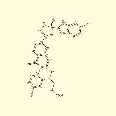 C[C@@]1(c2nc3ccc(F)cc3[nH]2)CC(c2ccc3c(=O)n(-c4ccc(Cl)cc4)c(CCCCC(=O)O)nc3c2)=NO1